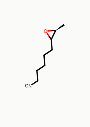 C[C@@H]1OC1CCCCCN=O